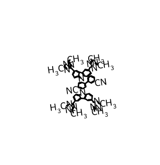 Cc1nc(C)nc(-c2ccc3c(c2)c2cc(-c4nc(C)nc(C)n4)ccc2n3-c2cc(-c3cccc(C#N)c3)c(-n3c4ccc(-c5nc(C)nc(C)n5)cc4c4cc(-c5nc(C)nc(C)n5)ccc43)cc2C#N)n1